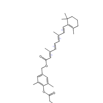 CC1=C(/C=C/C(C)=C/C=C/C(C)=C/C(=O)OCc2cc(C)c(OC(=O)CCl)c(C)c2)C(C)(C)CCC1